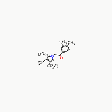 CCOC(=O)c1cn(CC(=O)c2ccc(C)c(C)c2)c(C(=O)OCC)c1C1CC1